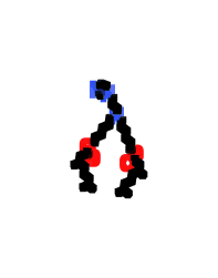 CC(C)CCCC(C)CC(=O)OCCCCCCN(CCCCCCOC(=O)CC(C)CCCC(C)C)CCCn1ccnc1